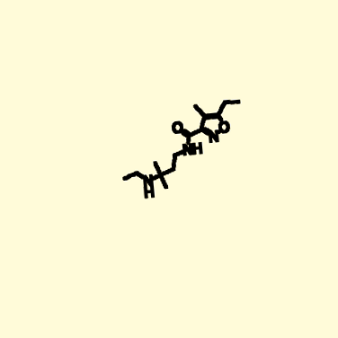 CCNC(C)(C)CCNC(=O)c1noc(CC)c1C